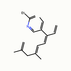 C=CC(=C/C=C(\C)CC(=C)C)/C(/C=N\C(=C)CC)=C/C